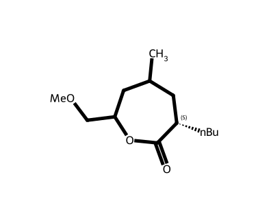 CCCC[C@H]1CC(C)CC(COC)OC1=O